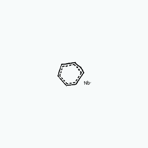 [Nb].[c]1ccccc1